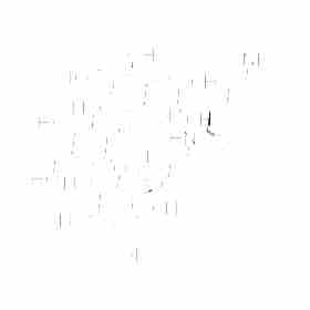 CCC(C)OC1C(O)[C@H](OC2C(O)[C@@H](O)C(CO)O[C@@H]2OC2C(O)[C@H](O)[C@@H](CO)O[C@@H]2C(C)(C)OCCNC(=O)CCCCN)OC(CO)[C@H]1O